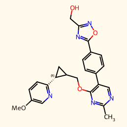 COc1ccc([C@@H]2CC2COc2nc(C)ncc2-c2ccc(-c3nc(CO)no3)cc2)nc1